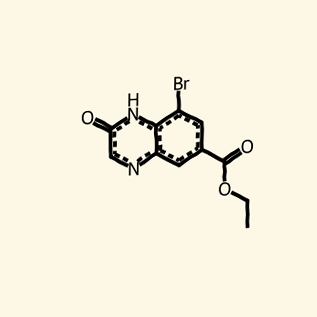 CCOC(=O)c1cc(Br)c2[nH]c(=O)cnc2c1